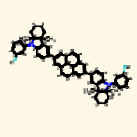 CC12CCCCC1(C)N(c1cccc(F)c1)c1ccc(-c3cc4ccc5cc(-c6ccc7c(c6)C6(C)CCCCC6(C)N7c6cccc(F)c6)cc6ccc(c3)c4c56)cc12